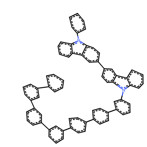 c1ccc(-c2cccc(-c3cccc(-c4cccc(-c5ccc(-c6ccc(-c7cccc(-n8c9ccccc9c9cc(-c%10ccc%11c(c%10)c%10ccccc%10n%11-c%10ccccc%10)ccc98)c7)cc6)cc5)c4)c3)c2)cc1